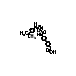 CC(C)c1ccc(Nc2nnc(C(=O)Nc3ccc(C4CCC(CC(=O)O)CC4)cc3)o2)cc1